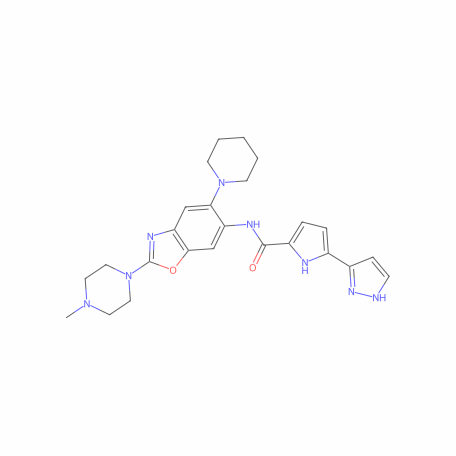 CN1CCN(c2nc3cc(N4CCCCC4)c(NC(=O)c4ccc(-c5cc[nH]n5)[nH]4)cc3o2)CC1